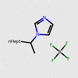 CCCCCCCC(C)n1ccnc1.F[B-](F)(F)F